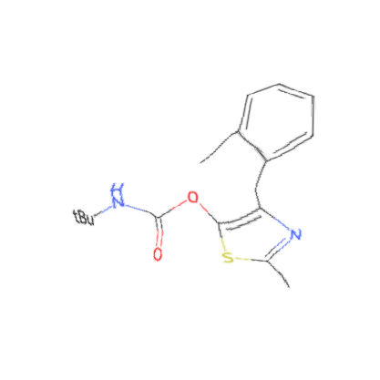 Cc1nc(-c2ccccc2C)c(OC(=O)NC(C)(C)C)s1